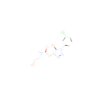 CCOCCN(C)C(=O)On1nnn(-c2cccc(Cl)c2)c1=O